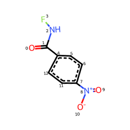 O=C(NF)c1ccc([N+](=O)[O-])cc1